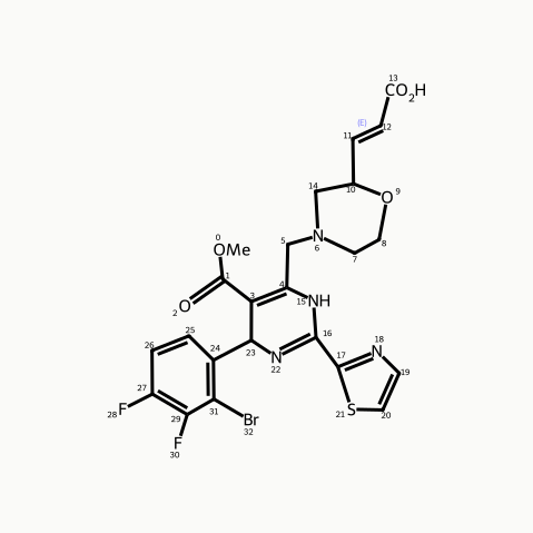 COC(=O)C1=C(CN2CCOC(/C=C/C(=O)O)C2)NC(c2nccs2)=NC1c1ccc(F)c(F)c1Br